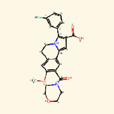 COc1cc2c(cc1C(=O)N1CCOCC1)-c1cc(C(=O)O)c(-c3cccc(F)c3)n1CC2